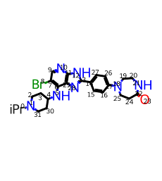 CC(C)N1CCC(Nc2c(Br)cnc3[nH]c(-c4ccc(N5CCNC(=O)CC5)cc4)nc23)CC1